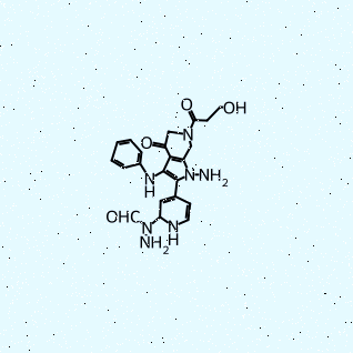 NN(C=O)C1C=C(c2c(Nc3ccccc3)c3c(n2N)CN(C(=O)CCO)CC3=O)C=CN1